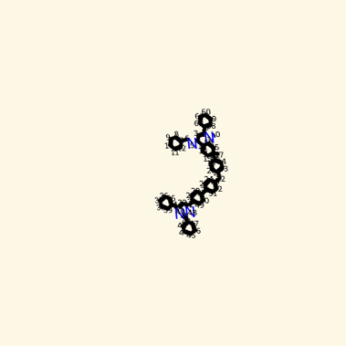 C=N/C(=C\C(=N/Cc1ccccc1)C1=CCC(C)(c2ccc(Cc3ccc(-c4ccc(-c5cc(-c6ccccc6)nc(-c6ccccc6)n5)cc4)cc3)cc2)C=C1)c1ccccc1